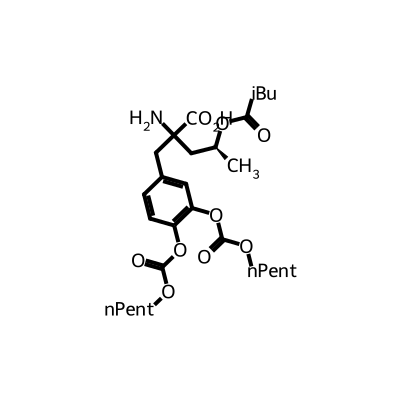 CCCCCOC(=O)Oc1ccc(CC(N)(C[C@H](C)OC(=O)C(C)CC)C(=O)O)cc1OC(=O)OCCCCC